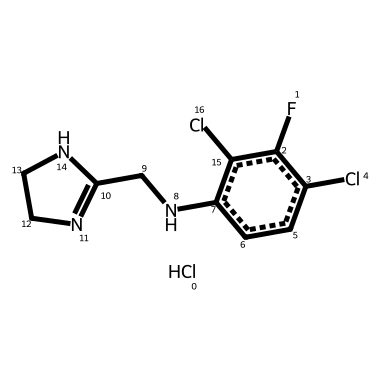 Cl.Fc1c(Cl)ccc(NCC2=NCCN2)c1Cl